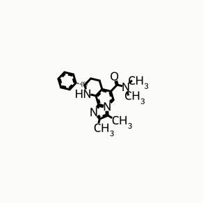 Cc1nc2c3c(c(C(=O)N(C)C)cn2c1C)CC[C@@H](c1ccccc1)N3